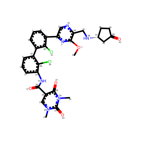 COc1nc(-c2cccc(-c3cccc(NC(=O)c4cn(C)c(=O)n(C)c4=O)c3Cl)c2Cl)cnc1CN[C@@H]1CCC(=O)C1